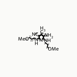 COCCCNc1nc(NCCCOC)c(C#N)c(C)c1N